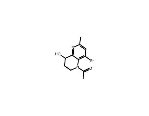 CC(=O)N1CCC(O)c2nc(C)cc(Br)c21